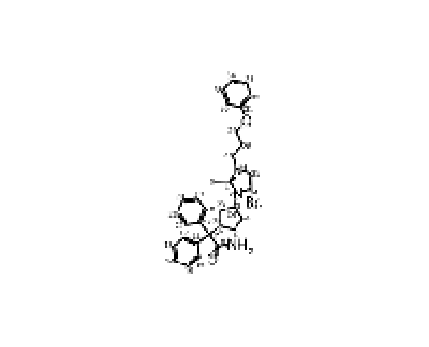 Cc1n([C@H]2CC[C@@H](C(C(N)=O)(c3ccccc3)c3ccccc3)C2)cc[n+]1CCCOc1ccccc1.[Br-]